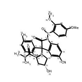 COc1ccc([S+]([O-])N2C(=O)C(c3cc(C)ccc3OC)(N3C[C@H](O)C[C@H]3C(=O)N(C)C)c3cc(C#N)ccc32)c(OC(F)(F)F)c1